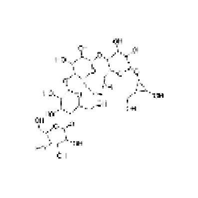 OCC1OC(OC2C(CO)OC(OC3C(CO)OC(OC4C(CO)OC(OC5C(O)C5CO)C(O)C4O)C(O)C3O)C(O)C2O)C(O)C(O)C1O